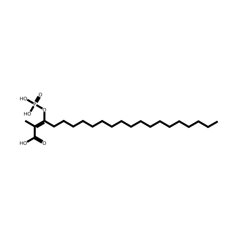 CCCCCCCCCCCCCCCCCCC(OP(=O)(O)O)=C(C)C(=O)O